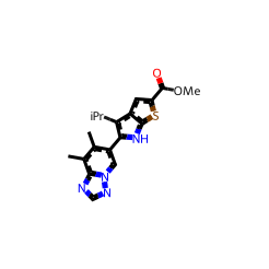 COC(=O)c1cc2c(C(C)C)c(-c3cn4ncnc4c(C)c3C)[nH]c2s1